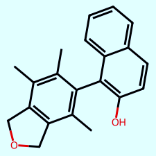 Cc1c(C)c(-c2c(O)ccc3ccccc23)c(C)c2c1COC2